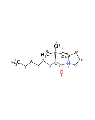 CCCCCCC(C(=O)N1CCCC1)C(C)(C)C